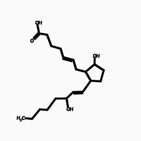 CCCCCC(O)C=CC1CCC(O)C1CC=CCCCC(=O)O